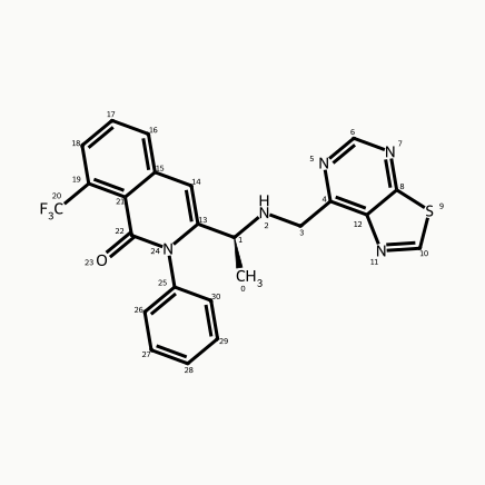 C[C@H](NCc1ncnc2scnc12)c1cc2cccc(C(F)(F)F)c2c(=O)n1-c1ccccc1